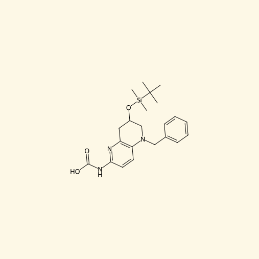 CC(C)(C)[Si](C)(C)OC1Cc2nc(NC(=O)O)ccc2N(Cc2ccccc2)C1